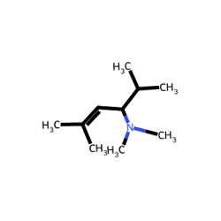 CC(C)=CC(C(C)C)N(C)C